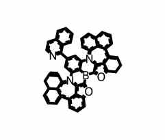 C1#Cc2c3c(c4cccc5oc6c(c54)n2-c2cc(-c4nccc5ccccc45)cc4c2B6c2oc5c6c(c7cccc8cccc(c87)n-4c26)=CCC5)=CC=CC3C1